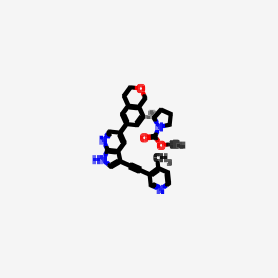 Cc1ccncc1C#Cc1c[nH]c2ncc(-c3cc4c(c([C@@H]5CCCN5C(=O)OC(C)(C)C)c3)COCC4)cc12